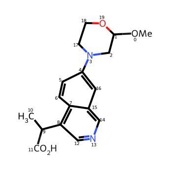 COC1CN(c2ccc3c(C(C)C(=O)O)cncc3c2)CCO1